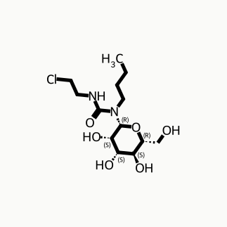 CCCCN(C(=O)NCCCl)[C@@H]1O[C@H](CO)[C@@H](O)[C@H](O)[C@@H]1O